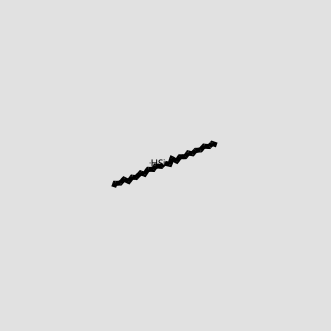 CCCCCCCCCCCCC[SiH]CCCCCCCCCCCCC